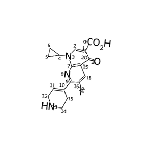 O=C(O)c1cn(C2CC2)c2nc(C3=CCNCC3)c(F)cc2c1=O